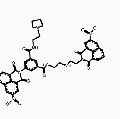 O=C(NCCNCCN1C(=O)c2cccc3cc([N+](=O)[O-])cc(c23)C1=O)c1cc(C(=O)NCCN2CCCC2)cc(N2C(=O)c3cccc4cc([N+](=O)[O-])cc(c34)C2=O)c1